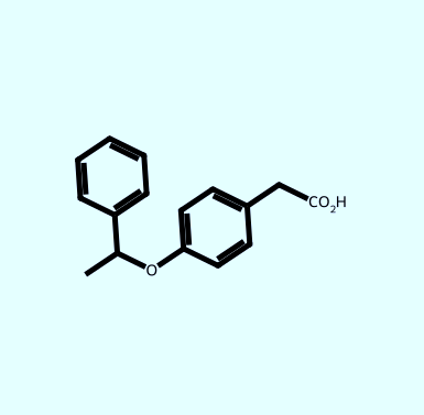 CC(Oc1ccc(CC(=O)O)cc1)c1ccccc1